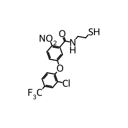 O=C(NCCS)c1cc(Oc2ccc(C(F)(F)F)cc2Cl)ccc1[N+](=O)[O-]